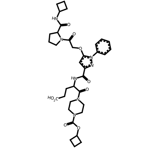 O=C(O)CCC(NC(=O)c1cc(OCC(=O)N2CCCC2C(=O)NC2CCC2)n(-c2ccccc2)n1)C(=O)N1CCN(C(=O)OC2CCC2)CC1